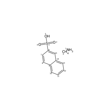 C.N.O=S(=O)(O)c1ccc2ccccc2c1